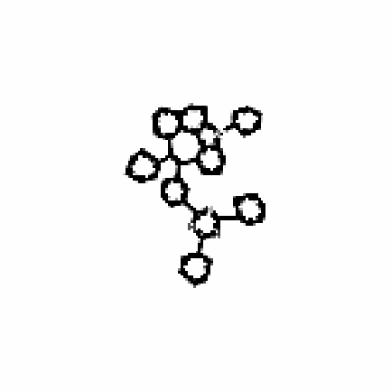 c1ccc(C2=C(c3cccc(-c4nc(-c5ccccc5)nc(-c5ccccc5)n4)c3)c3cccc4c3c3c5c2cccc5ccc3n4-c2ccccc2)cc1